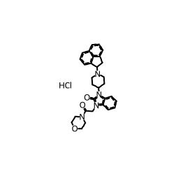 Cl.O=C(Cn1c(=O)n(C2CCN(C3Cc4cccc5cccc3c45)CC2)c2ccccc21)N1CCOCC1